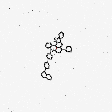 c1ccc(-c2ccc(N(c3ccc(-c4ccc(-c5cccc6ccccc56)cc4)cc3)c3ccccc3-c3cccc4c3sc3ccccc34)cc2)cc1